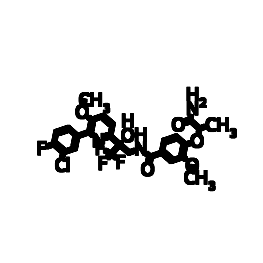 COc1cc(C(=O)NCC(O)(c2ccc(OC)c(-c3ccc(F)c(Cl)c3)n2)C(F)(F)F)ccc1OC(C)C(N)=O